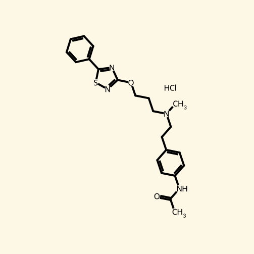 CC(=O)Nc1ccc(CCN(C)CCCOc2nsc(-c3ccccc3)n2)cc1.Cl